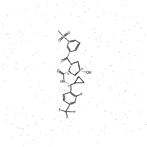 CS(=O)(=O)c1cccc(C(=O)N2C[C@H](O)C[C@@H]2C(=O)N[C@@H](c2ccc(C(F)(F)F)cc2F)C2CC2)c1